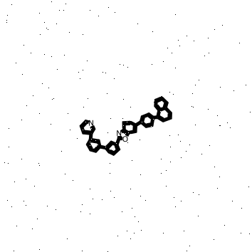 c1cncc(-c2cccc(-c3cccc(-c4nc5ccc(-c6ccc(-c7cccc8ccccc78)cc6)cc5o4)c3)c2)c1